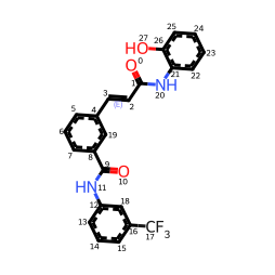 O=C(/C=C/c1cccc(C(=O)Nc2cccc(C(F)(F)F)c2)c1)Nc1ccccc1O